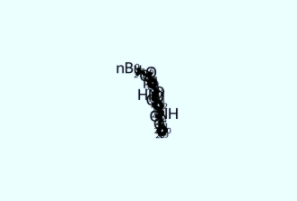 CCCCC(C)COC(=O)c1ccc(C(=O)NS(=O)(=O)c2ccc(NC(=O)COc3ccccc3)cc2)cn1